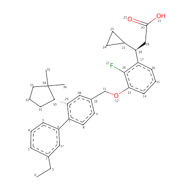 CCc1cccc(-c2ccc(COc3cccc([C@H](CC(=O)O)C4CC4)c3F)cc2[C@@H]2CCCC2(C)C)c1